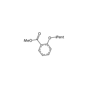 CCCC(C)Oc1ccccc1C(=O)OC